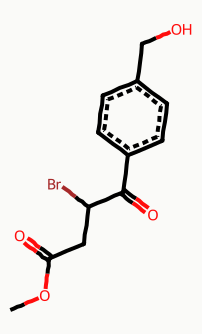 COC(=O)CC(Br)C(=O)c1ccc(CO)cc1